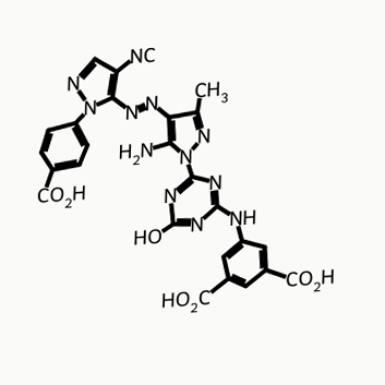 [C-]#[N+]c1cnn(-c2ccc(C(=O)O)cc2)c1/N=N/c1c(C)nn(-c2nc(O)nc(Nc3cc(C(=O)O)cc(C(=O)O)c3)n2)c1N